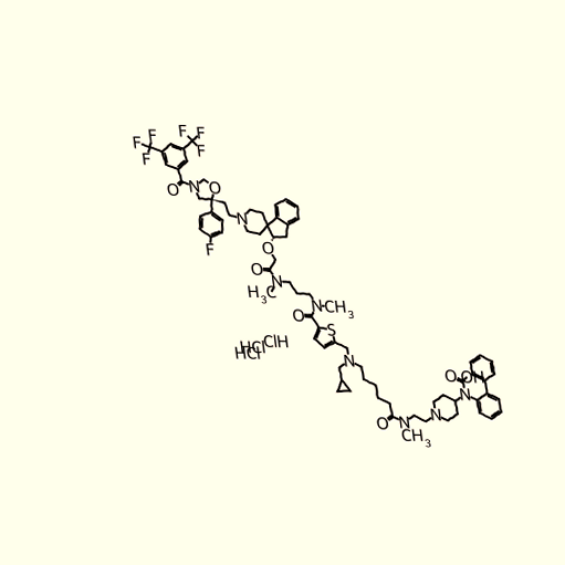 CN(CCN1CCC(N(C(=O)O)c2ccccc2-c2ccccc2)CC1)C(=O)CCCCCN(Cc1ccc(C(=O)N(C)CCCN(C)C(=O)CO[C@H]2Cc3ccccc3C23CCN(CC[C@@]2(c4ccc(F)cc4)CN(C(=O)c4cc(C(F)(F)F)cc(C(F)(F)F)c4)CO2)CC3)s1)CC1CC1.Cl.Cl.Cl